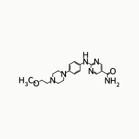 COCCN1CCN(c2ccc(Nc3ncc(C(N)=O)cn3)cc2)CC1